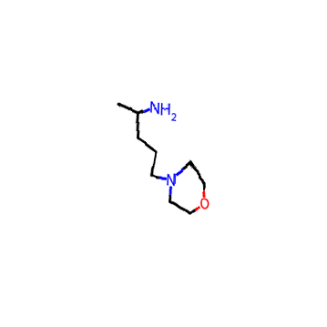 CC(N)CCCN1CCOCC1